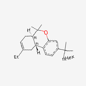 CCCCCCC(C)(C)c1ccc2c(c1)OC(C)(C)[C@@H]1CC=C(CC)C[C@@H]21